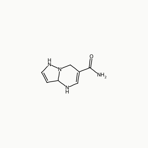 NC(=O)C1=CNC2C=CNN2C1